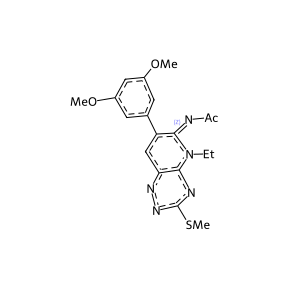 CCn1/c(=N\C(C)=O)c(-c2cc(OC)cc(OC)c2)cc2nnc(SC)nc21